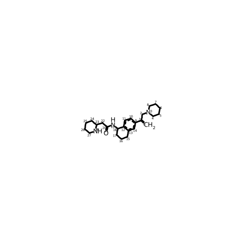 C=C(CN1CCCCC1)c1ccc2c(c1)CCCC2NC(=O)CC1CCCCN1